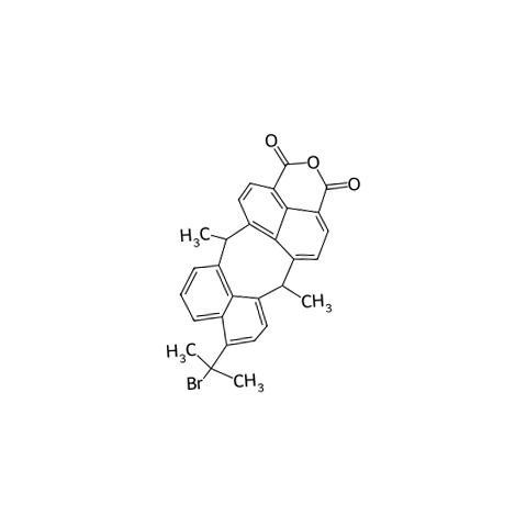 CC1c2cccc3c(C(C)(C)Br)ccc(c23)C(C)c2ccc3c4c(ccc1c24)C(=O)OC3=O